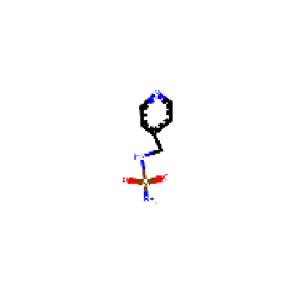 NS(=O)(=O)NCc1ccncc1